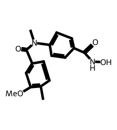 COc1cc(C(=O)N(C)c2ccc(C(=O)NO)cc2)ccc1C